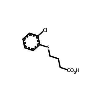 O=C(O)CCCSc1ccccc1Cl